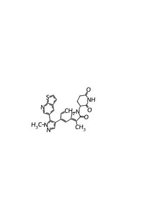 C=C/C(=C\C1=C(C)C(=O)N(C2CCC(=O)NC2=O)C1)c1cnn(C)c1-c1cnc2sccc2c1